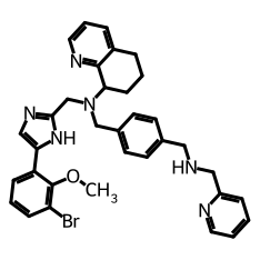 COc1c(Br)cccc1-c1cnc(CN(Cc2ccc(CNCc3ccccn3)cc2)C2CCCc3cccnc32)[nH]1